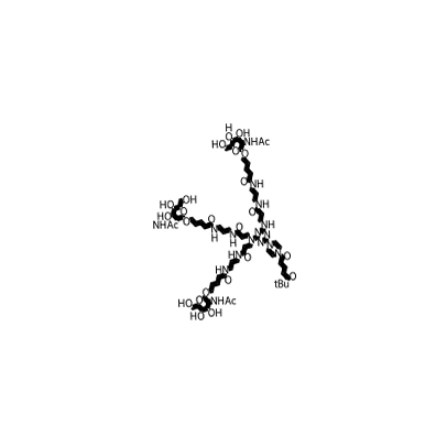 CC(=O)NC1C(OCCCCC(=O)NCCCNC(=O)CCNc2nc(N(CCC(=O)NCCCNC(=O)CCCCOC3OC(CO)C(O)C(O)C3NC(C)=O)CCC(=O)NCCCNC(=O)CCCCOC3OC(CO)C(O)C(O)C3NC(C)=O)nc(N3CCN(C(=O)CCCC(=O)C(C)(C)C)CC3)n2)OC(CO)C(O)C1O